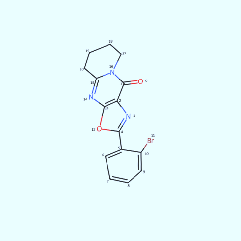 O=c1c2nc(-c3ccccc3Br)oc2nc2n1CCCC2